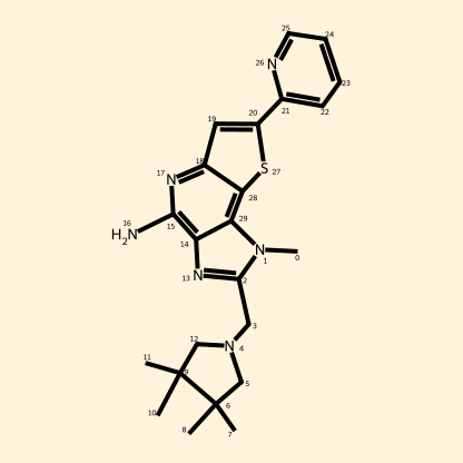 Cn1c(CN2CC(C)(C)C(C)(C)C2)nc2c(N)nc3cc(-c4ccccn4)sc3c21